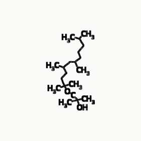 CC(C)CCCC(C)CC(C)CCC(C)(C)OCC(C)(C)O